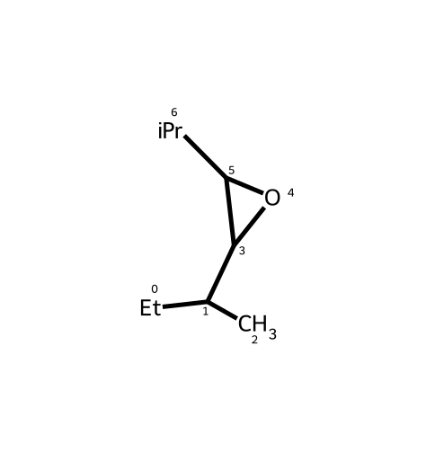 CCC(C)C1OC1C(C)C